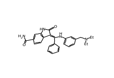 CCN(CC)Cc1cccc(N/C(=C2\C(=O)Nc3cc(C(N)=O)ccc32)c2ccccc2)c1